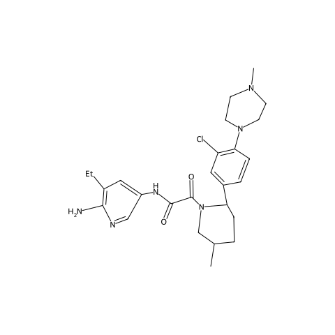 CCc1cc(NC(=O)C(=O)N2CC(C)CCC2c2ccc(N3CCN(C)CC3)c(Cl)c2)cnc1N